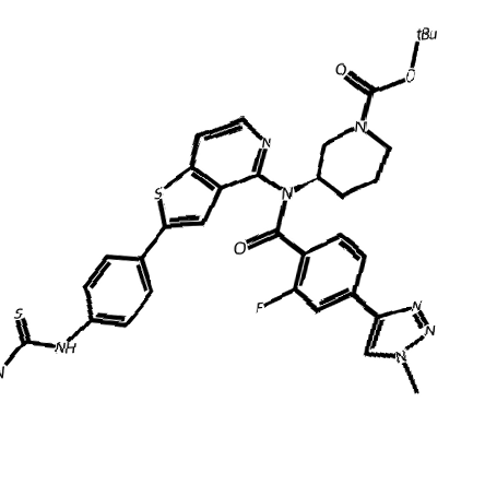 CNC(=S)Nc1ccc(-c2cc3c(N(C(=O)c4ccc(-c5cn(C)nn5)cc4F)[C@@H]4CCCN(C(=O)OC(C)(C)C)C4)nccc3s2)cc1